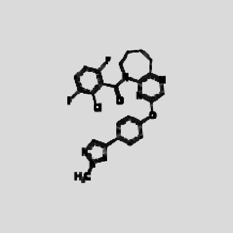 Cn1cc(-c2ccc(Oc3cnc4c(n3)N(C(=O)c3c(F)ccc(F)c3Cl)CCCC4)cc2)cn1